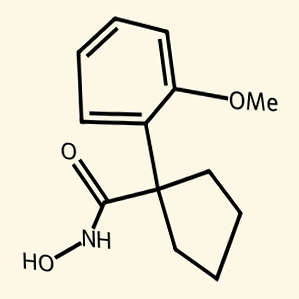 COc1ccccc1C1(C(=O)NO)CCCC1